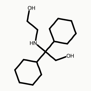 OCCNC(CO)(C1CCCCC1)C1CCCCC1